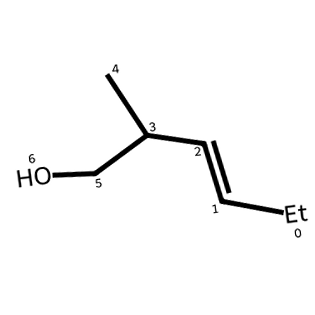 [CH2]CC=CC(C)CO